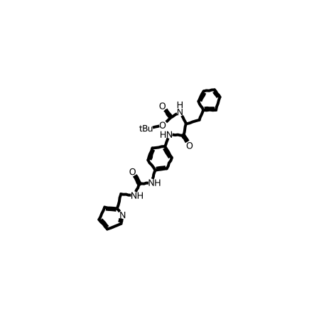 CC(C)(C)OC(=O)NC(Cc1ccccc1)C(=O)Nc1ccc(NC(=O)NCc2ccccn2)cc1